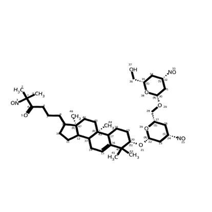 CC(C)(N=O)C(=O)CCCC1CCC2C3CC=C4C(CC[C@H](O[C@H]5C[C@@H](N=O)C[C@@H](CO[C@H]6C[C@@H](N=O)C[C@@H](CO)O6)O5)C4(C)C)[C@]3(C)CC[C@]12C